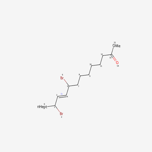 CCCCCCCC(Br)/C=C/C(Br)CCCCCCC(=O)OC